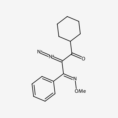 CON=C(C(=[N+]=[N-])C(=O)C1CCCCC1)c1ccccc1